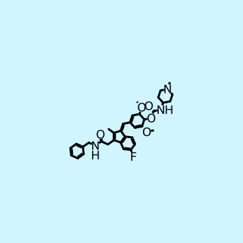 COC1=CC(/C=C2/C(C)=C(CC(=O)NCc3ccccc3)c3cc(F)ccc32)=CC(OC)C1OC(=O)NC1CCN(C)CC1